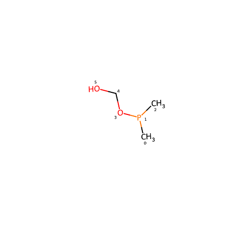 CP(C)OCO